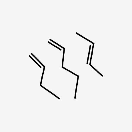 C=CCC.C=CCCC.CC=CC